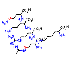 CC(=N)NOCCC(N)C(=O)O.N=C(N)NCCCC(N)C(=O)O.NCCCC(N)C(=O)O.NCCCCC(N)C(=O)O.NOCCC(N)C(=O)O